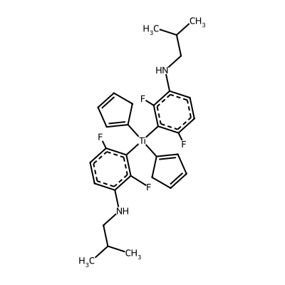 CC(C)CNc1ccc(F)[c]([Ti]([C]2=CC=CC2)([C]2=CC=CC2)[c]2c(F)ccc(NCC(C)C)c2F)c1F